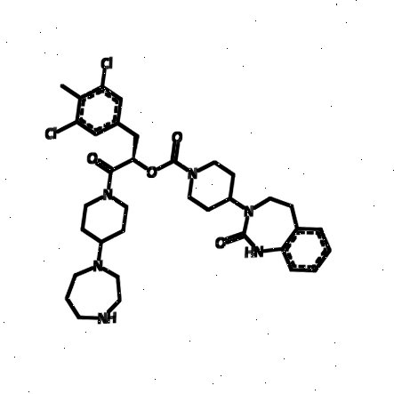 Cc1c(Cl)cc(C[C@@H](OC(=O)N2CCC(N3CCc4ccccc4NC3=O)CC2)C(=O)N2CCC(N3CCCNCC3)CC2)cc1Cl